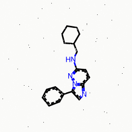 c1ccc(-c2cnc3ccc(NCC4CCCCC4)nn23)cc1